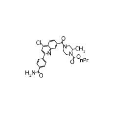 CCCOC(=O)N1CCN(C(=O)c2ccc3c(Cl)cc(-c4ccc(C(N)=O)cc4)nc3c2)CC1C